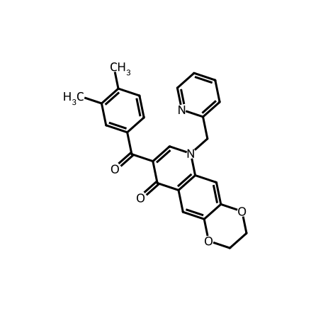 Cc1ccc(C(=O)c2cn(Cc3ccccn3)c3cc4c(cc3c2=O)OCCO4)cc1C